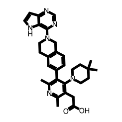 Cc1nc(C)c(-c2ccc3c(c2)CCN(c2ncnc4cc[nH]c24)C3)c(N2CCC(C)(C)CC2)c1CC(=O)O